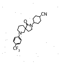 N#CC1CCC(N2CCC3(CCCN(c4ccc(C(F)(F)F)cc4)C3)C2=O)CC1